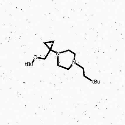 CC(C)(C)CCN1CCN(C2(COC(C)(C)C)CC2)CC1